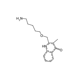 Cc1c(COCCCCCN)[nH]c2ccccc2c1=O